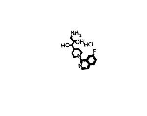 Cl.NC[C@@H](O)C(O)C1CCN(c2nccc3ccc(F)cc23)CC1